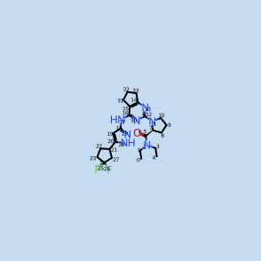 CCN(CC)C(=O)[C@@H]1CCCN1c1nc2c(c(Nc3cc(C4CCC(F)(F)C4)[nH]n3)n1)CCC2